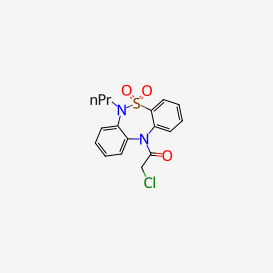 CCCN1c2ccccc2N(C(=O)CCl)c2ccccc2S1(=O)=O